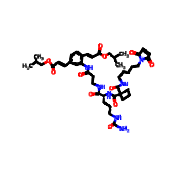 CC(C)COC(=O)/C=C/c1ccc(/C=C/C(=O)OCC(C)C)c(NC(=O)CCNC(=O)[C@H](CCCNC(N)=O)NC(=O)C2(C(=O)NCCCCCN3C(=O)C=CC3=O)CCC2)c1